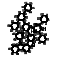 c1ccc(C2=NC(c3cc(-c4cc(-c5ccccc5)ccc4-c4ccccc4)ccc3-c3ccc4oc5ccc6c7ccccc7n(-c7cccnc7)c6c5c4c3)NC(c3ccccc3)N2)cc1